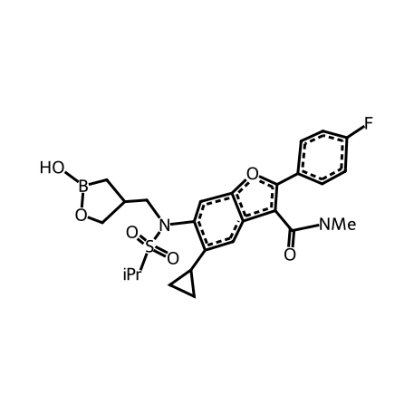 CNC(=O)c1c(-c2ccc(F)cc2)oc2cc(N(CC3COB(O)C3)S(=O)(=O)C(C)C)c(C3CC3)cc12